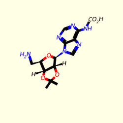 CC1(C)O[C@@H]2[C@H](O1)[C@@H](CN)O[C@H]2n1cnc2c(NC(=O)O)ncnc21